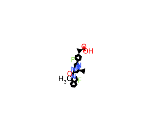 C[C@@H]1c2ccccc2[C@H](F)CN1C(=O)c1cc(C2CC2)n2nc(-c3ccc([C@H]4C[C@@H]4C(=O)O)cc3F)cc2n1